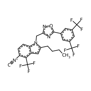 [C-]#[N+]c1ccc2c(cc(CCCC)n2Cc2noc(-c3cc(C(F)(F)F)cc(C(F)(F)F)c3)n2)c1C(F)(F)F